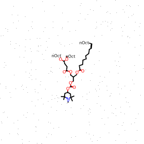 CCCCCCCC/C=C\CCCCCCCC(=O)OCC(COC(=O)CCC(OCCCCCCCC)OCCCCCCCC)COC(=O)OC1CC(C)(C)N(C)C(C)(C)C1